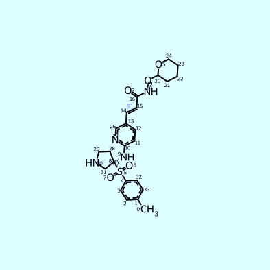 Cc1ccc(S(=O)(=O)[C@]2(Nc3ccc(/C=C/C(=O)NOC4CCCCO4)cn3)CCNC2)cc1